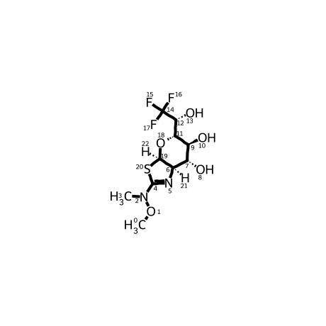 CON(C)C1=N[C@@H]2[C@@H](O)[C@H](O)[C@@H]([C@@H](O)C(F)(F)F)O[C@@H]2S1